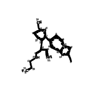 Cc1cn2ccc(-c3nc(C#N)ccc3/C(C=N)=C/NCCC(F)(F)F)cc2n1